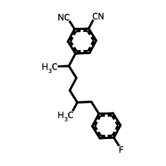 CC(CCC(C)c1ccc(C#N)c(C#N)c1)Cc1ccc(F)cc1